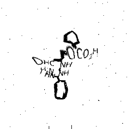 NNC(NCN/C(=C\C=O)COC1(C(=O)O)CCCCC1)c1ccccc1